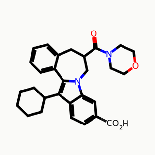 O=C(O)c1ccc2c(C3CCCCC3)c3n(c2c1)CC(C(=O)N1CCOCC1)Cc1ccccc1-3